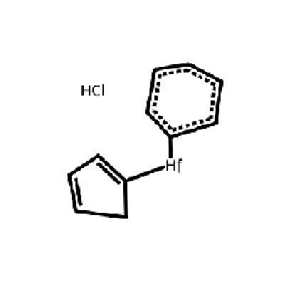 C1=CC[C]([Hf][c]2ccccc2)=C1.Cl